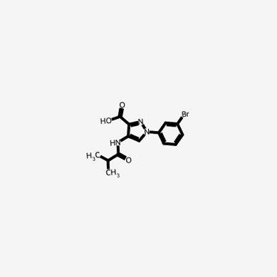 CC(C)C(=O)Nc1cn(-c2cccc(Br)c2)nc1C(=O)O